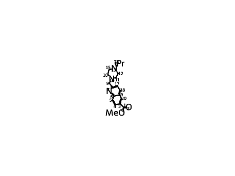 COC(=O)c1ccc2nc(CN3CCN(C(C)C)CC3)ccc2c1